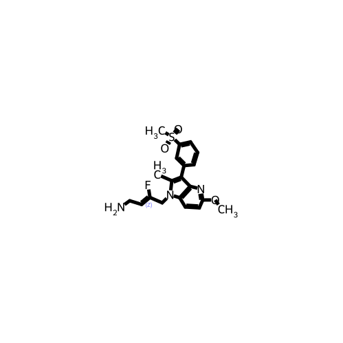 COc1ccc2c(n1)c(-c1cccc(S(C)(=O)=O)c1)c(C)n2C/C(F)=C/CN